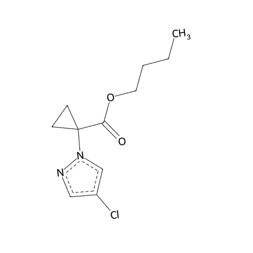 CCCCOC(=O)C1(n2cc(Cl)cn2)CC1